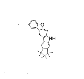 CC1(C)c2cc3[nH]c4cc5oc6ccccc6c5cc4c3cc2C(C)(C)C1(C)C